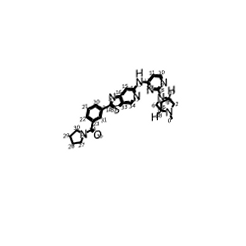 CN1C[C@@H]2C[C@H]1CN2c1nccc(Nc2cc3nc(-c4cccc(C(=O)N5CCCC5)c4)sc3cn2)n1